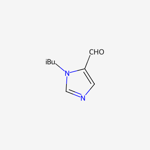 CCC(C)n1cncc1C=O